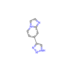 c1cn2ccc(-c3c[nH]nn3)cc2n1